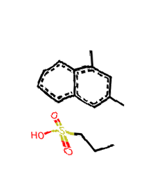 CCCS(=O)(=O)O.Cc1cc(C)c2ccccc2c1